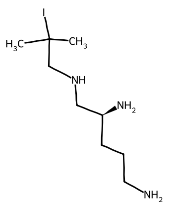 CC(C)(I)CNC[C@@H](N)CCCN